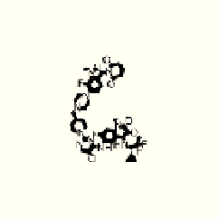 Cn1nc(N2C(=O)CCCC2=O)c2ccc(N3CCN(CC4CCN(c5ncc(Cl)c(Nc6cc7c8c(c(=O)n(C)c7cc6F)OCC(F)(F)[C@H](C6CC6)N8)n5)CC4)CC3)c(F)c21